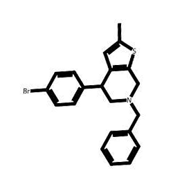 Cc1cc2c(s1)CN(Cc1ccccc1)CC2c1ccc(Br)cc1